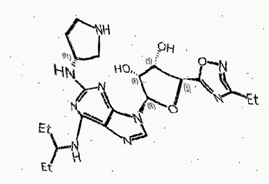 CCc1noc([C@H]2O[C@@H](n3cnc4c(NC(CC)CC)nc(N[C@@H]5CCNC5)nc43)[C@H](O)[C@@H]2O)n1